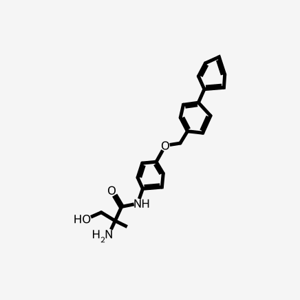 CC(N)(CO)C(=O)Nc1ccc(OCc2ccc(-c3ccccc3)cc2)cc1